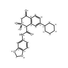 O=C1CS(=O)(=O)C(C(=O)Nc2ccc3c(c2)OCO3)c2cc(C3CCCCC3)ccc21